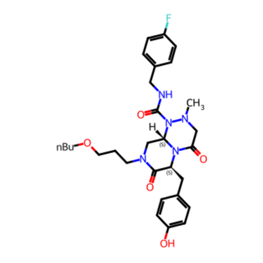 CCCCOCCCN1C[C@H]2N(C(=O)CN(C)N2C(=O)NCc2ccc(F)cc2)[C@@H](Cc2ccc(O)cc2)C1=O